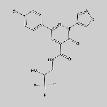 O=C(NCC(O)C(F)(F)F)c1cc(-c2ccc(Cl)cc2)nn(-c2cnoc2)c1=O